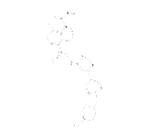 CNC(=O)c1ccnc2c([C@H](C)CNc3cc(-c4cnc(CC5CCN(C)CC5)nc4)ncn3)ccc(F)c12